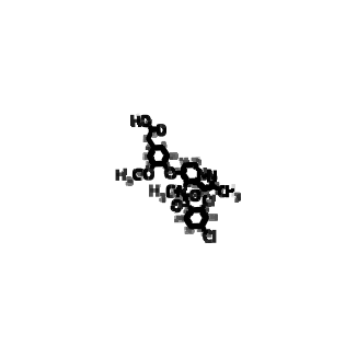 COc1cc(CC(=O)O)ccc1Oc1ccn2nc(C)cc2c1N(C)S(=O)(=O)c1ccc(Cl)cc1Cl